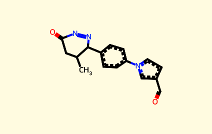 CC1CC(=O)N=NC1c1ccc(-n2ccc(C=O)c2)cc1